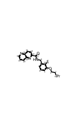 CC(C)CCOc1cccc(CNC(=O)c2ccc3ncccc3n2)c1F